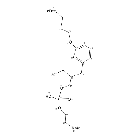 CCCCCCCCCCCCCOc1cccc(CC(COP(=O)(O)OCCNC)CC(C)=O)c1